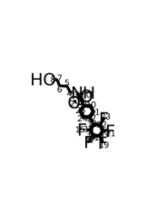 O=S(=O)(NCCCCO)c1ccc(-c2c(F)c(F)c(F)c(F)c2F)cc1